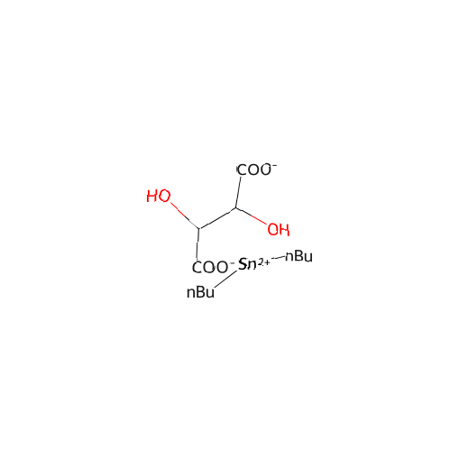 CCC[CH2][Sn+2][CH2]CCC.O=C([O-])C(O)C(O)C(=O)[O-]